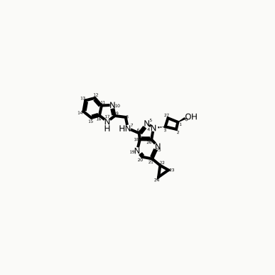 O[C@H]1C[C@H](n2nc(NCc3nc4ccccc4[nH]3)c3ncc(C4CC4)nc32)C1